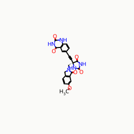 COc1ccc2c(c1)C(=O)N(C[C@@]1(C#Cc3ccc4[nH]c(=O)[nH]c(=O)c4c3)NC(=O)NC1=O)C2